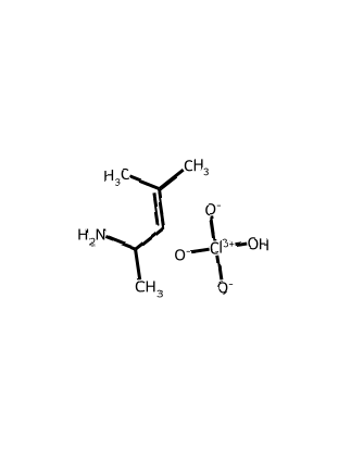 CC(C)=CC(C)N.[O-][Cl+3]([O-])([O-])O